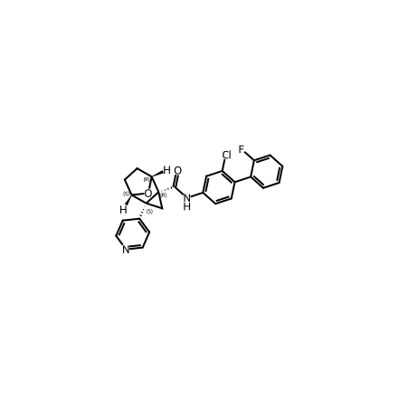 O=C(Nc1ccc(-c2ccccc2F)c(Cl)c1)[C@]12C[C@@]1(c1ccncc1)[C@@H]1CC[C@H]2O1